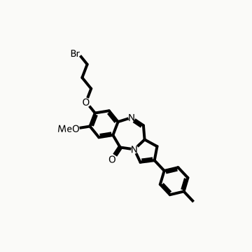 COc1cc2c(cc1OCCCBr)N=CC1CC(c3ccc(C)cc3)=CN1C2=O